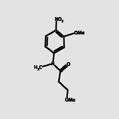 COCCC(=O)N(C)c1ccc([N+](=O)[O-])c(OC)c1